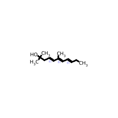 CC/C=C/C=C(C)/C=C/CC(C)(C)O